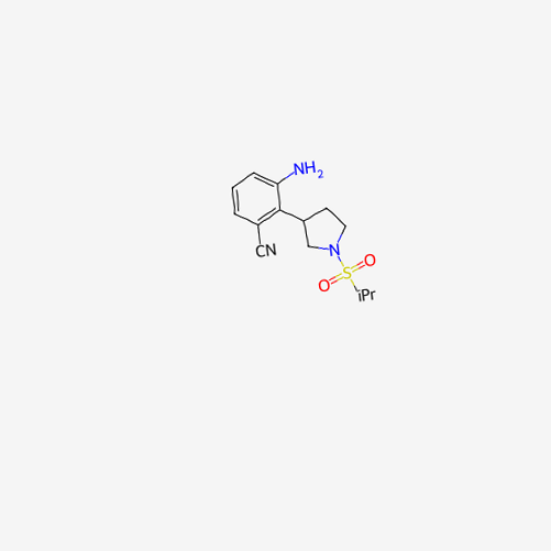 CC(C)S(=O)(=O)N1CCC(c2c(N)cccc2C#N)C1